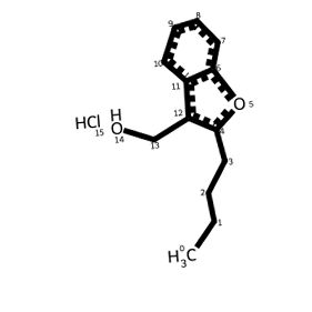 CCCCc1oc2ccccc2c1CO.Cl